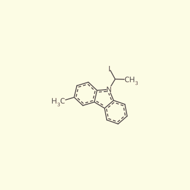 Cc1ccc2c(c1)c1ccccc1n2C(C)I